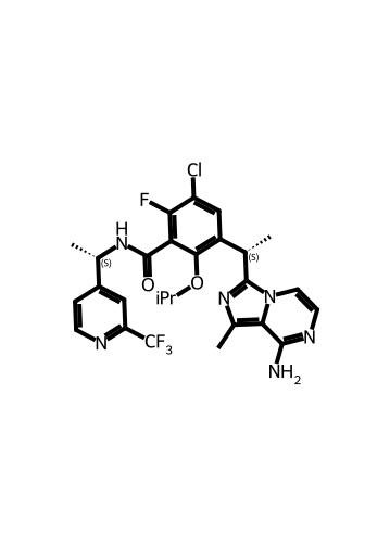 Cc1nc([C@@H](C)c2cc(Cl)c(F)c(C(=O)N[C@@H](C)c3ccnc(C(F)(F)F)c3)c2OC(C)C)n2ccnc(N)c12